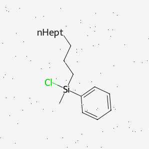 CCCCCCCCCC[Si](C)(Cl)c1ccccc1